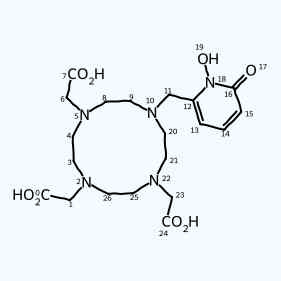 O=C(O)CN1CCN(CC(=O)O)CCN(Cc2cccc(=O)n2O)CCN(CC(=O)O)CC1